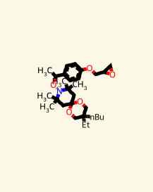 CCCCC1(CC)COC2(CC(C)(C)N(OC(C)c3ccc(OCC4CO4)cc3)C(C)(C)C2)OC1